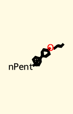 CC=CCOc1ccc(C23CCC(CCCCC)(CC2)CC3)cc1